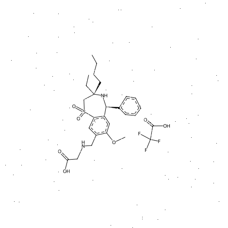 CCCC[C@]1(CC)CS(=O)(=O)c2cc(CNCC(=O)O)c(OC)cc2[C@H](c2ccccc2)N1.O=C(O)C(F)(F)F